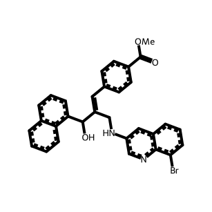 COC(=O)c1ccc(C=C(CNc2cnc3c(Br)cccc3c2)C(O)c2cccc3ccccc23)cc1